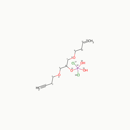 C#CCCOCC(COCCC=C)OP(O)(O)(Cl)Cl